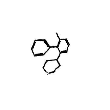 Cc1cccc(C2CCOCC2)c1-c1ccccc1